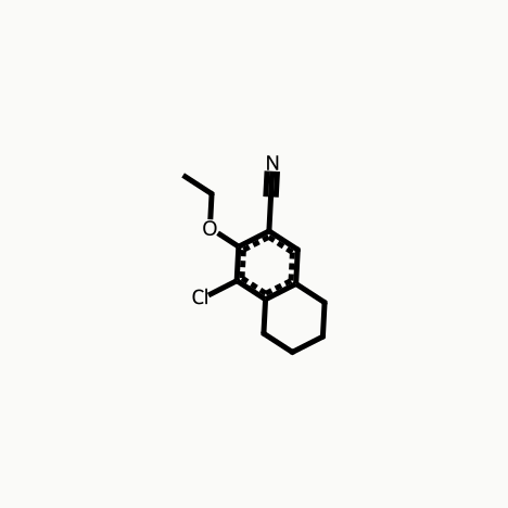 CCOc1c(C#N)cc2c(c1Cl)CCCC2